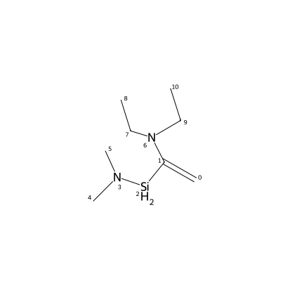 C=C([SiH2]N(C)C)N(CC)CC